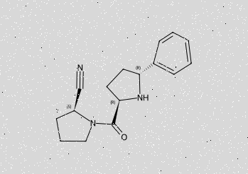 N#C[C@@H]1CCCN1C(=O)[C@H]1CC[C@H](c2ccccc2)N1